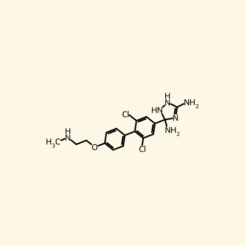 CNCCOc1ccc(-c2c(Cl)cc(C3(N)N=C(N)NN3)cc2Cl)cc1